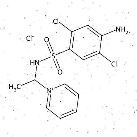 CC(NS(=O)(=O)c1cc(Cl)c(N)cc1Cl)[n+]1ccccc1.[Cl-]